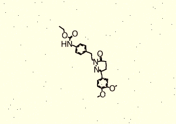 CCOC(=O)Nc1ccc(CCN2N=C(c3ccc(OC)c(OC)c3)CCC2=O)cc1